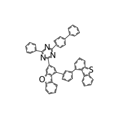 c1ccc(-c2ccc(-c3nc(-c4ccccc4)nc(-c4cc(-c5cccc(-c6cccc7sc8ccccc8c67)c5)c5c(c4)oc4ccccc45)n3)cc2)cc1